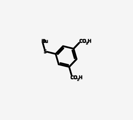 CCC(C)Sc1cc(C(=O)O)cc(C(=O)O)c1